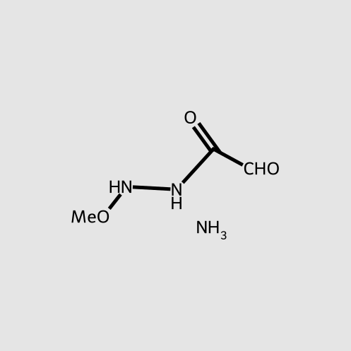 CONNC(=O)C=O.N